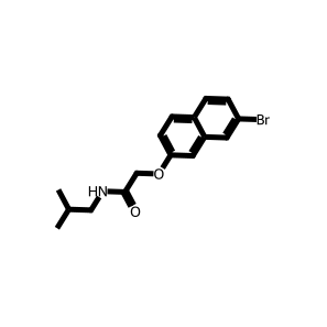 CC(C)CNC(=O)COc1ccc2ccc(Br)cc2c1